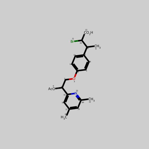 CC(=O)OC(COc1ccc(C(C)C(Br)C(=O)O)cc1)c1cc(C)cc(C)n1